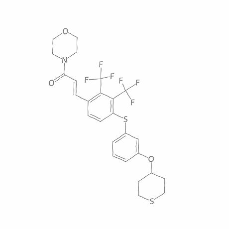 O=C(C=Cc1ccc(Sc2cccc(OC3CCSCC3)c2)c(C(F)(F)F)c1C(F)(F)F)N1CCOCC1